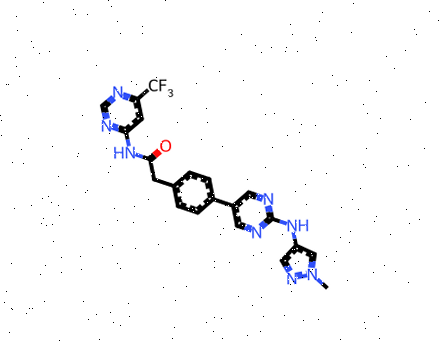 Cn1cc(Nc2ncc(-c3ccc(CC(=O)Nc4cc(C(F)(F)F)ncn4)cc3)cn2)cn1